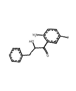 Nc1ccc(F)cc1C(=O)C(O)Cc1ccccc1